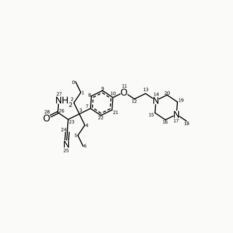 CCCC(CCC)(c1ccc(OCCN2CCN(C)CC2)cc1)C(C#N)C(N)=O